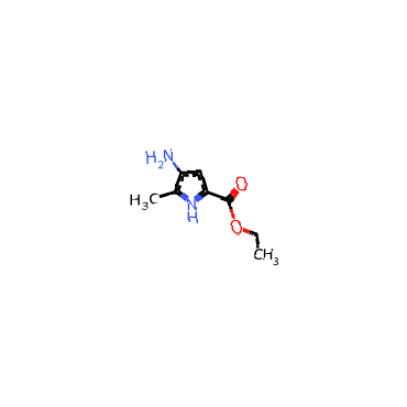 CCOC(=O)c1cc(N)c(C)[nH]1